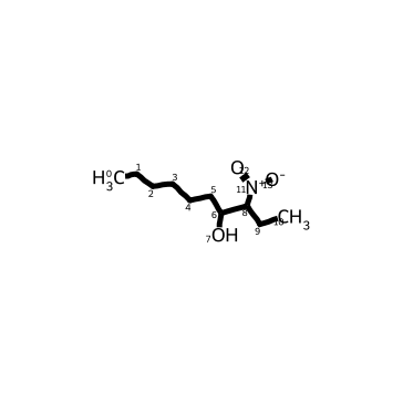 CCCCCCC(O)C(CC)[N+](=O)[O-]